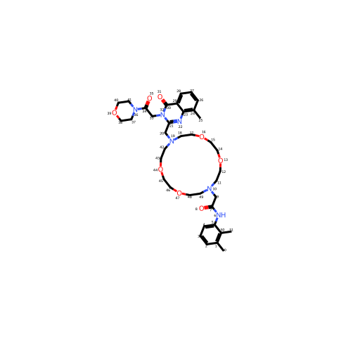 Cc1cccc(NC(=O)CN2CCOCCOCCN(Cc3nc4c(C)cccc4c(=O)n3CC(=O)N3CCOCC3)CCOCCOCC2)c1C